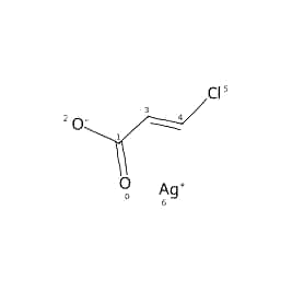 O=C([O-])C=CCl.[Ag+]